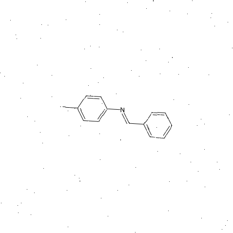 [CH2]c1ccc(N=Cc2ccccc2)cc1